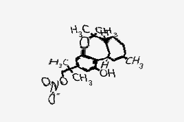 CC1=C[C@H]2c3c(O)cc(C(C)(C)CO[N+](=O)[O-])cc3OC(C)(C)[C@@H]2CC1